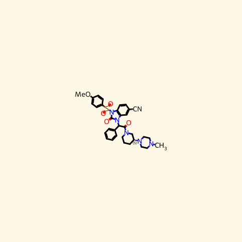 COc1ccc(S(=O)(=O)n2c(=O)n(C(C(=O)N3CCC[C@H](N4CCN(C)CC4)C3)c3ccccc3)c3cc(C#N)ccc32)cc1